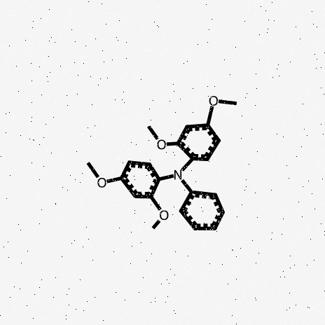 COc1ccc(N(c2ccccc2)c2ccc(OC)cc2OC)c(OC)c1